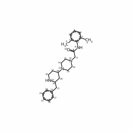 Cc1cccc(C)c1NC(=O)CN1CCN(C2CCNC(Cc3ccccc3)C2)CC1